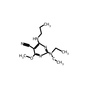 CCCNc1nc(N(CC)CC)nc(OC)c1C#N